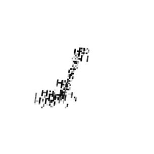 CC1=C(C)C(=O)C(C(C)(C)CC(=O)N(C)CCOC(=O)NCCOCCOCCOCCC(=O)NCCN2C(=O)C=CC2=O)=C(C)C1=O